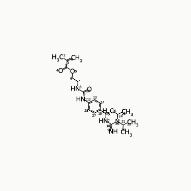 C=C(C)C(=O)OCCNC(=O)Nc1ccc(CNC(=N)N(C(C)C)C(C)C)cc1